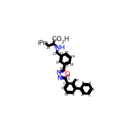 Cc1c(-c2ccccc2)cccc1-c1nnc(-c2cccc(CNC(CC(C)C)C(=O)O)c2)o1